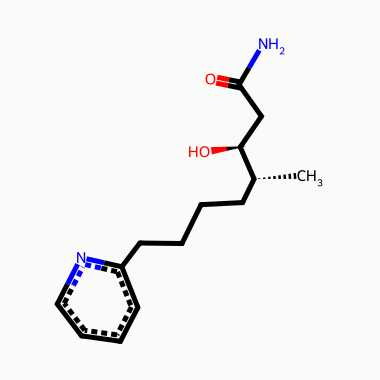 C[C@H](CCCCc1ccccn1)[C@@H](O)CC(N)=O